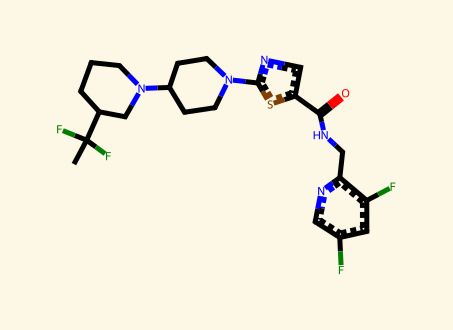 CC(F)(F)C1CCCN(C2CCN(c3ncc(C(=O)NCc4ncc(F)cc4F)s3)CC2)C1